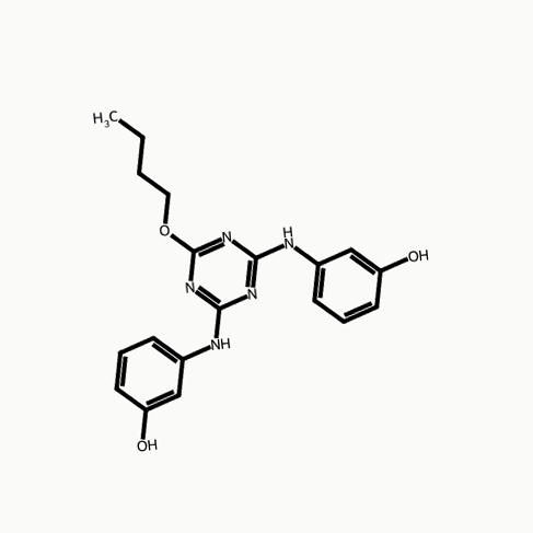 CCCCOc1nc(Nc2cccc(O)c2)nc(Nc2cccc(O)c2)n1